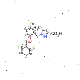 Cc1cc(C(=O)O)nn1Cc1cc(F)ccc1OCc1c(F)cccc1F